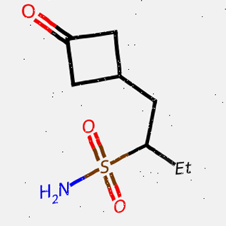 CCC(CC1CC(=O)C1)S(N)(=O)=O